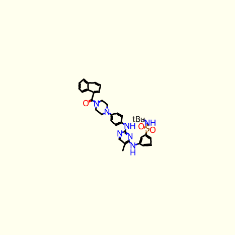 Cc1cnc(Nc2ccc(N3CCN(C(=O)c4cccc5ccccc45)CC3)cc2)nc1Nc1cccc(S(=O)(=O)NC(C)(C)C)c1